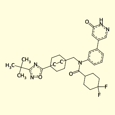 CC(C)(C)c1noc(C23CCC(CN(C(=O)C4CCC(F)(F)CC4)c4cccc(-c5cn[nH]c(=O)c5)c4)(CC2)CC3)n1